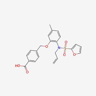 C=CCN(c1ccc(C)cc1OCc1ccc(C(=O)O)cc1)S(=O)(=O)c1ccco1